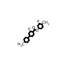 CC1CCC(C2CCC(C(=O)OC3CCC(C)C(F)C3)C(F)C2)CC1